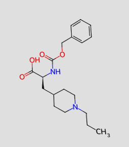 CCCN1CCC(C[C@H](NC(=O)OCc2ccccc2)C(=O)O)CC1